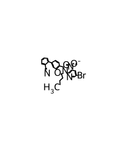 CCCCC(=O)N(Cc1ccc(-c2ccccc2C#N)cc1)c1ncc(Br)cc1[N+](=O)[O-]